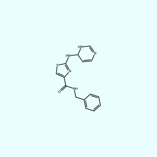 O=C(NCc1ccccc1)c1csc(NC2C=CN=CN2)n1